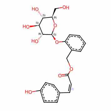 O=C(/C=C\c1ccc(O)cc1)OCc1ccccc1O[C@@H]1O[C@H](CO)[C@@H](O)[C@H](O)[C@H]1O